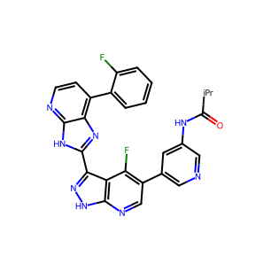 CC(C)C(=O)Nc1cncc(-c2cnc3[nH]nc(-c4nc5c(-c6ccccc6F)ccnc5[nH]4)c3c2F)c1